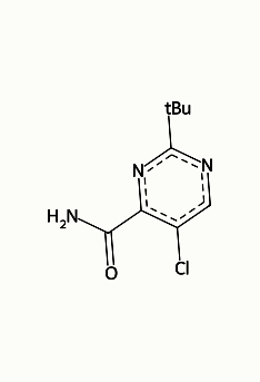 CC(C)(C)c1ncc(Cl)c(C(N)=O)n1